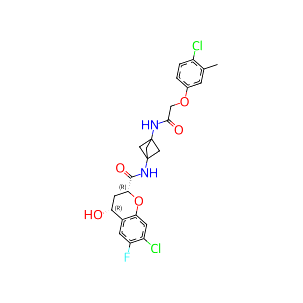 Cc1cc(OCC(=O)NC23CC(NC(=O)[C@H]4C[C@@H](O)c5cc(F)c(Cl)cc5O4)(C2)C3)ccc1Cl